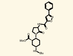 COC(=O)[C@@H]1C[C@H](NC(C)(C)C)CC[C@@H]1N1CCC(NC(=O)c2cc(-c3ccccc3)no2)C1=O